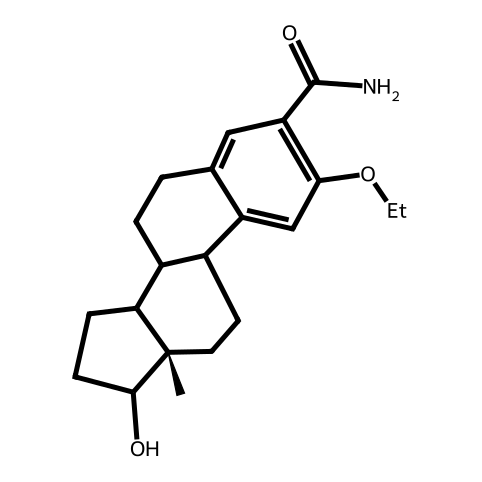 CCOc1cc2c(cc1C(N)=O)CCC1C2CC[C@]2(C)C(O)CCC12